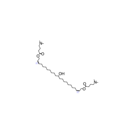 CN(C)CCCC(=O)OC/C=C\CCCCCCCCC(O)CCCCCCCC/C=C\COC(=O)CCCN(C)C